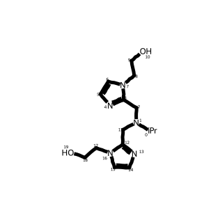 CC(C)N(Cc1nccn1CCO)Cc1nccn1CCO